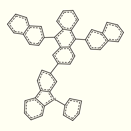 c1ccc(-n2c3ccccc3c3ccc(-c4ccc5c(-c6ccc7ccccc7c6)c6ccccc6c(-c6ccc7ccccc7c6)c5c4)cc32)cc1